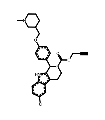 C#CCOC(=O)N1CCc2c([nH]c3ccc(Cl)cc23)C1c1ccc(OCC2CCCN(C)C2)cc1